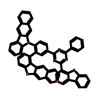 c1ccc(-c2nc(-c3ccc(-n4c5ccccc5c5cc6ccccc6cc54)c(-c4cccc5oc6cc7ccccc7cc6c45)c3)nc(-c3cccc4c3sc3ccccc34)n2)cc1